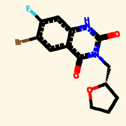 O=c1[nH]c2cc(F)c(Br)cc2c(=O)n1C[C@@H]1CCCO1